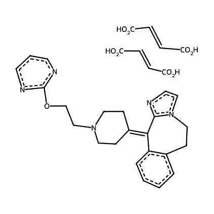 O=C(O)C=CC(=O)O.O=C(O)C=CC(=O)O.c1cnc(OCCN2CCC(=C3c4ccccc4CCn4ccnc43)CC2)nc1